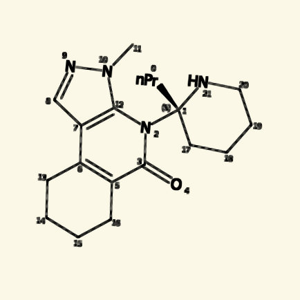 CCC[C@]1(n2c(=O)c3c(c4cnn(C)c42)CCCC3)CCCCN1